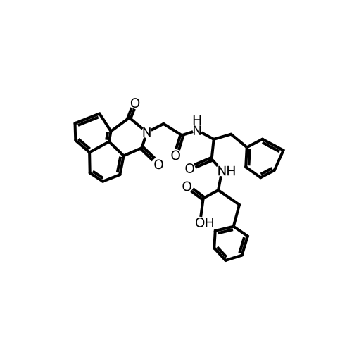 O=C(CN1C(=O)c2cccc3cccc(c23)C1=O)NC(Cc1ccccc1)C(=O)NC(Cc1ccccc1)C(=O)O